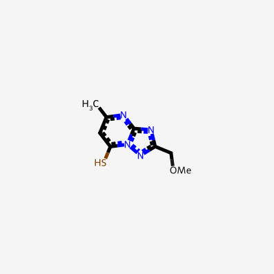 COCc1nc2nc(C)cc(S)n2n1